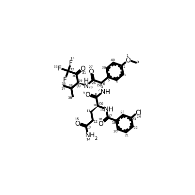 COc1ccc([C@H](NC(=O)[C@H](CCC(N)=O)NC(=O)c2cccc(Cl)c2)C(=O)N[C@H](C(=O)C(F)(F)F)C(C)C)cc1